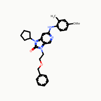 COc1ccc(Nc2cc3c(cn2)n(CCOCc2ccccc2)c(=O)n3C2CCCC2)c(C)c1